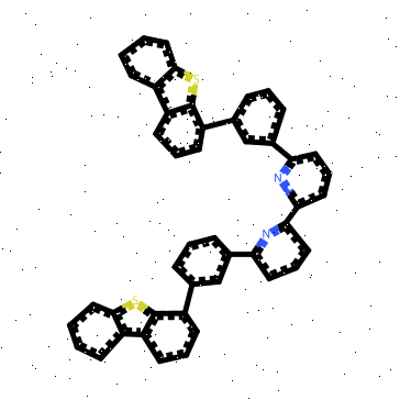 c1cc(-c2cccc(-c3cccc(-c4cccc(-c5cccc6c5sc5ccccc56)c4)n3)n2)cc(-c2cccc3c2sc2ccccc23)c1